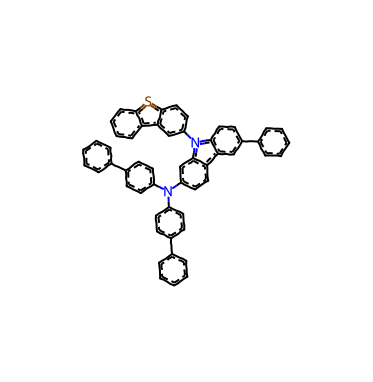 c1ccc(-c2ccc(N(c3ccc(-c4ccccc4)cc3)c3ccc4c5cc(-c6ccccc6)ccc5n(-c5ccc6sc7ccccc7c6c5)c4c3)cc2)cc1